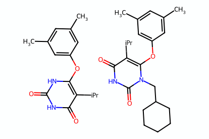 Cc1cc(C)cc(Oc2[nH]c(=O)[nH]c(=O)c2C(C)C)c1.Cc1cc(C)cc(Oc2c(C(C)C)c(=O)[nH]c(=O)n2CC2CCCCC2)c1